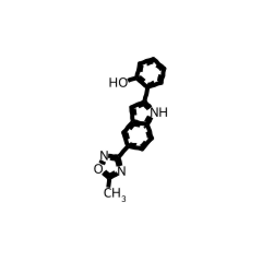 Cc1nc(-c2ccc3[nH]c(-c4ccccc4O)cc3c2)no1